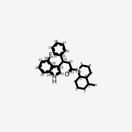 CC1CCCC2C1CCCN2C(=O)CC(c1ccccc1)c1c[nH]c2cccc(F)c12